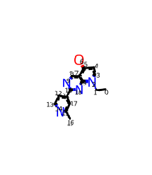 CCn1ccc(=O)c2cnc(-c3ccnc(C)c3)nc21